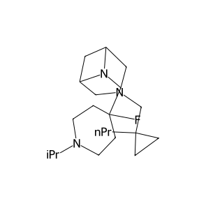 CCCC1(CN2CC3CC(C2)N3CC2(F)CCN(C(C)C)CC2)CC1